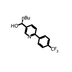 CCCC[C@H](O)c1ccc(-c2ccc(C(F)(F)F)cc2)nc1